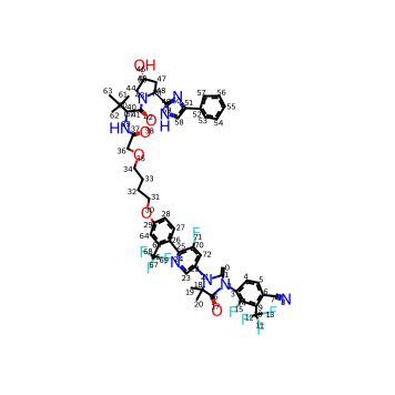 C=C1N(c2ccc(C#N)c(C(F)(F)F)c2F)C(=O)C(C)(C)N1c1cnc(-c2ccc(OCCCCOCC(=O)N[C@H](C(=O)N3C[C@H](O)C[C@H]3c3nc(-c4ccccc4)c[nH]3)C(C)(C)C)cc2C(F)(F)F)c(F)c1